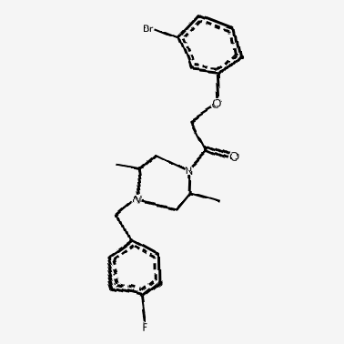 CC1CN(C(=O)COc2cccc(Br)c2)C(C)CN1Cc1ccc(F)cc1